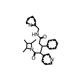 CC1C(C)N(C(=O)C(c2cccnc2)C(CC(=O)NCc2ccccn2)c2ccccc2)C1C